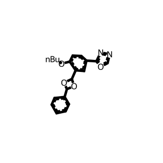 CCCCOc1ccc(-c2nnco2)cc1C1OC(c2ccccc2)O1